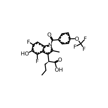 CCC[C@H](C(=O)O)c1c(C)n(C(=O)c2ccc(OC(F)(F)F)cc2)c2cc(F)c(O)c(F)c12